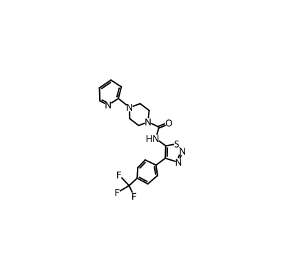 O=C(Nc1snnc1-c1ccc(C(F)(F)F)cc1)N1CCN(c2ccccn2)CC1